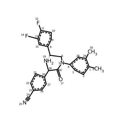 Cc1ccc(N(CCc2ccc(F)c(F)c2)C(=O)C(N)c2ccc(C#N)cc2)cc1C